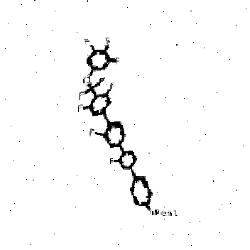 CCCCCc1ccc(-c2ccc(-c3ccc(-c4cc(F)c(C(F)(F)Oc5cc(F)c(F)c(F)c5)c(F)c4)c(F)c3)c(F)c2)cc1